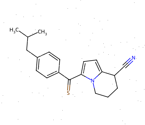 CC(C)Cc1ccc(C(=S)c2ccc3n2CCCC3C#N)cc1